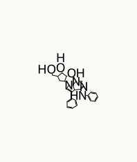 OCC1CC(N2C=C(c3ccccc3)C3C(Nc4ccccc4)=NC=NC32)C(O)C1O